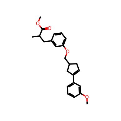 COC(=O)C(C)Cc1cccc(OCC2CC=C(c3cccc(OC)c3)C2)c1